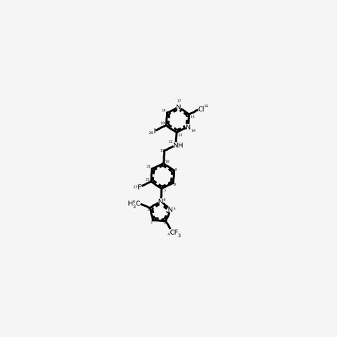 Cc1cc(C(F)(F)F)nn1-c1ccc(CNc2nc(Cl)ncc2I)cc1F